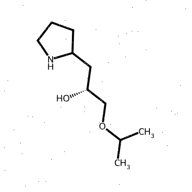 CC(C)OC[C@H](O)CC1CCCN1